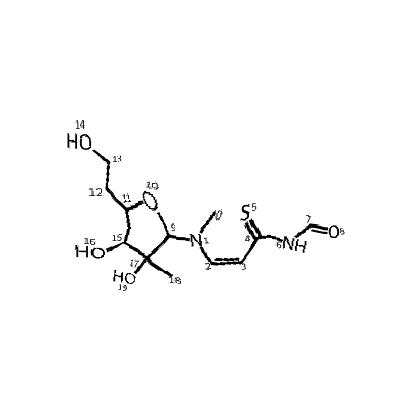 CN(/C=C\C(=S)NC=O)C1OC(CCO)[C@H](O)C1(C)O